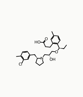 CC[C@@H](OC[C@H](O)CN1CCC[C@H]1Cc1ccc(C)c(Cl)c1)c1ccc(C)cc1CCC(=O)O